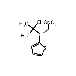 CC(C)(C=O)[C@H](C[N+](=O)[O-])c1cccs1